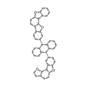 c1ccc2c(c1)oc1ccc3c4ccc(-c5c6ccccc6c(-c6ccc7oc8ccc9ccoc9c8c7c6)c6ccccc56)cc4oc3c12